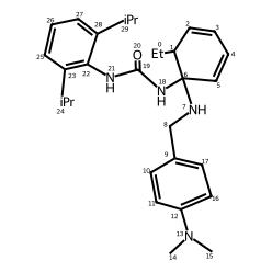 CCC1C=CC=CC1(NCc1ccc(N(C)C)cc1)NC(=O)Nc1c(C(C)C)cccc1C(C)C